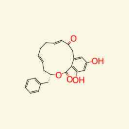 O=C1/C=C/CC/C=C/C[C@@H](Cc2ccccc2)OC(=O)c2c(O)cc(O)cc2C1